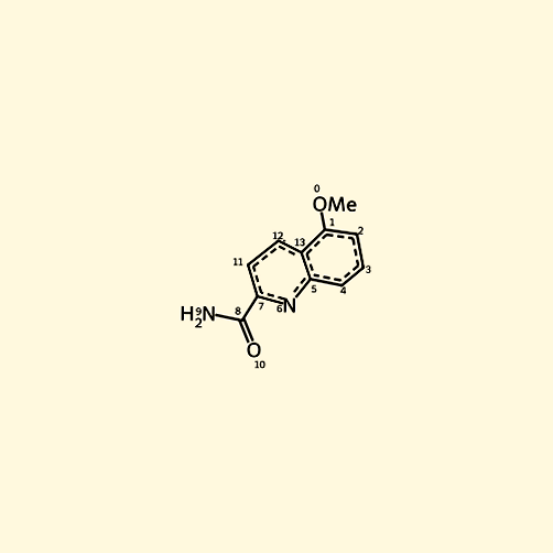 COc1cccc2nc(C(N)=O)c[c]c12